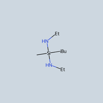 CCN[Si](C)(NCC)C(C)CC